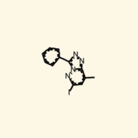 Cc1cc(I)nn2c(-c3ccccc3)nnc12